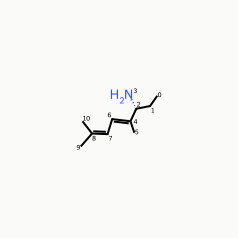 CC[C@@H](N)/C(C)=C/C=C(C)C